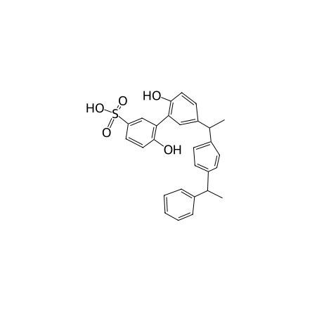 CC(c1ccccc1)c1ccc(C(C)c2ccc(O)c(-c3cc(S(=O)(=O)O)ccc3O)c2)cc1